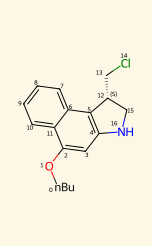 CCCCOc1cc2c(c3ccccc13)[C@H](CCl)CN2